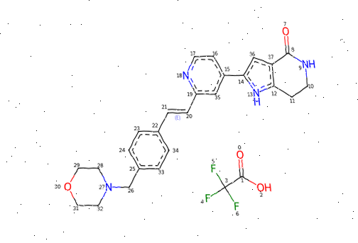 O=C(O)C(F)(F)F.O=C1NCCc2[nH]c(-c3ccnc(/C=C/c4ccc(CN5CCOCC5)cc4)c3)cc21